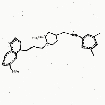 COc1ccc2nccc(CCC[C@@H]3CCN(CC#Cc4cc(C)cc(C)c4)C[C@@H]3C(=O)O)c2c1